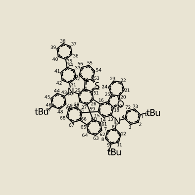 CC(C)(C)c1ccc(N(c2ccc(C(C)(C)C)cc2)c2cc3c(c4c2oc2ccccc24)-c2c(cc(N(c4ccc(-c5ccccc5)cc4)c4ccc(C(C)(C)C)cc4)c4c2sc2ccccc24)C32c3ccccc3-c3ccccc32)cc1